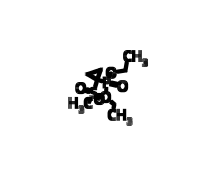 CCOP(=O)(OCC)C1(S(C)(=O)=O)CC1